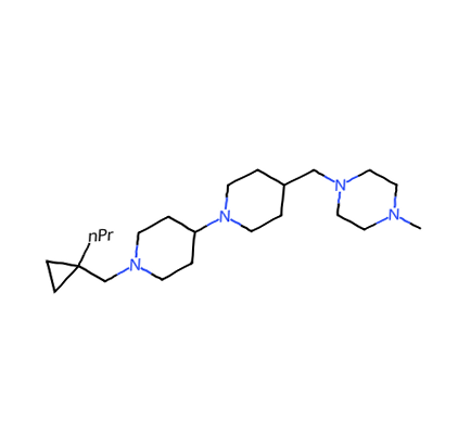 CCCC1(CN2CCC(N3CCC(CN4CCN(C)CC4)CC3)CC2)CC1